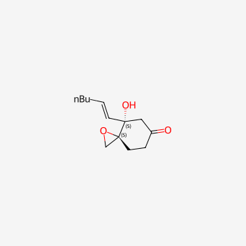 CCCCC=C[C@@]1(O)CC(=O)CC[C@]12CO2